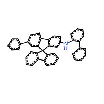 c1ccc(-c2ccc3c(c2)C2(c4ccccc4-c4ccccc42)c2cc(Nc4ccccc4-c4ccccc4)ccc2-3)cc1